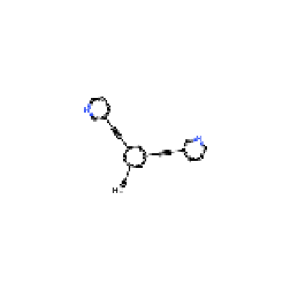 C#Cc1cc(C#Cc2cccnc2)cc(C#Cc2cccnc2)c1